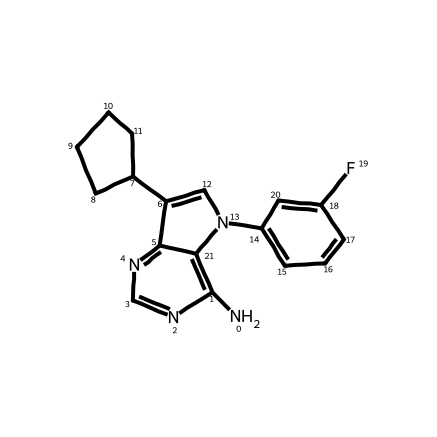 Nc1ncnc2c(C3CCCC3)cn(-c3cccc(F)c3)c12